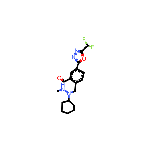 CNN(Cc1ccc(-c2nnc(C(F)F)o2)cc1C=O)C1CCCCC1